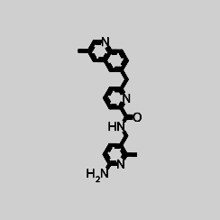 Cc1cnc2ccc(Cc3cccc(C(=O)NCc4ccc(N)nc4C)n3)cc2c1